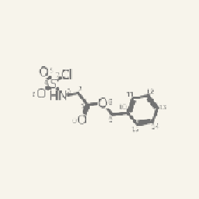 O=C(CNS(=O)(=O)Cl)OCc1ccccc1